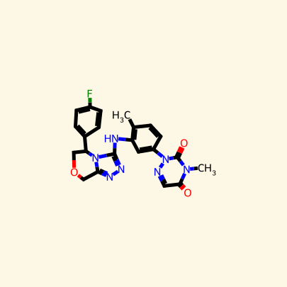 Cc1ccc(-n2ncc(=O)n(C)c2=O)cc1Nc1nnc2n1C(c1ccc(F)cc1)COC2